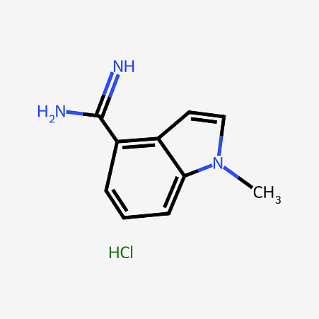 Cl.Cn1ccc2c(C(=N)N)cccc21